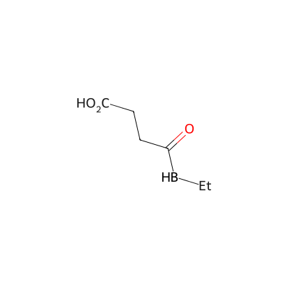 CCBC(=O)CCC(=O)O